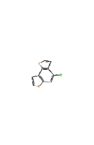 Brc1cc2sccc2c2sccc12